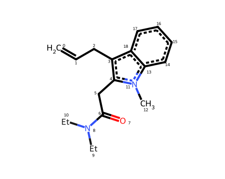 C=CCc1c(CC(=O)N(CC)CC)n(C)c2ccccc12